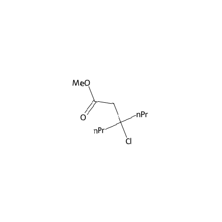 CCCC(Cl)(CCC)CC(=O)OC